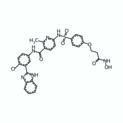 Cc1nc(NS(=O)(=O)c2ccc(OCCC(=O)NO)cc2)ccc1C(=O)Nc1ccc(Cl)c(-c2nc3ccccc3[nH]2)c1